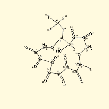 CO[SiH2][Si](=O)[Si](=O)[Si](=O)[Si](=O)[Si](=O)[Si](=O)[Si](=O)[SiH](C)O[SiH2][Si](=O)[Si](=O)[Si](C)(O)CCC(F)(F)F